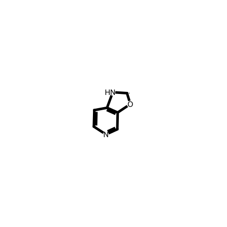 [CH]1Nc2ccncc2O1